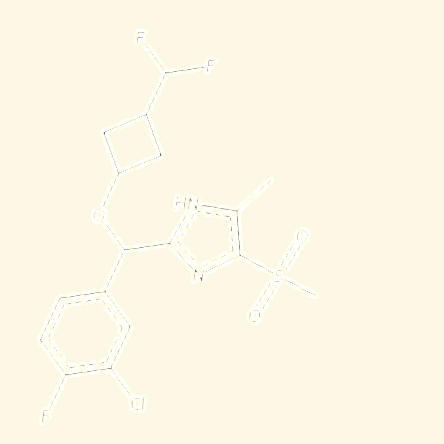 Cc1[nH]c(C(OC2CC(C(F)F)C2)c2ccc(F)c(Cl)c2)nc1S(C)(=O)=O